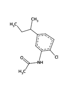 CCC(C)c1ccc(Cl)c(NC(C)=O)c1